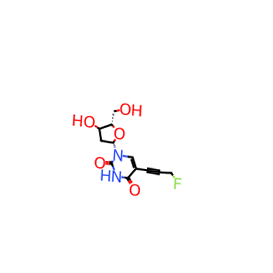 O=c1[nH]c(=O)n([C@@H]2CC(O)[C@H](CO)O2)cc1C#CCF